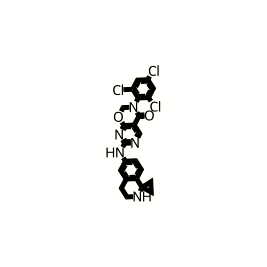 O=C1c2cnc(Nc3ccc4c(c3)CCNC43CC3)nc2OCN1c1c(Cl)cc(Cl)cc1Cl